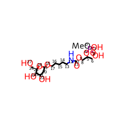 COP(=O)(O)OC(CO)COC(=O)NCCCCCO[C@H]1C[C@@H](O)[C@@H](O)[C@@H](CO)O1